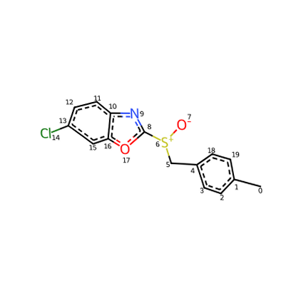 Cc1ccc(C[S+]([O-])c2nc3ccc(Cl)cc3o2)cc1